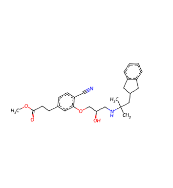 COC(=O)CCc1ccc(C#N)c(OC[C@H](O)CNC(C)(C)CC2Cc3ccccc3C2)c1